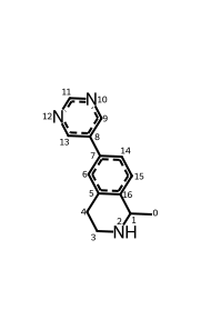 CC1NCCc2cc(-c3cncnc3)ccc21